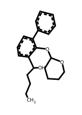 CCCCC(O)c1cccc(-c2ccccc2)c1OC1CCCCO1